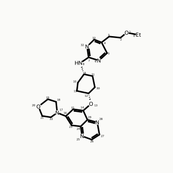 CCOCCc1cnc(N[C@H]2CC[C@@H](Oc3cc(N4CCOCC4)cc4nccnc34)CC2)nc1